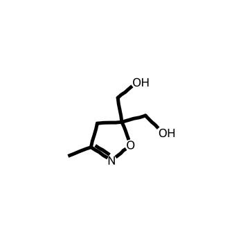 CC1=NOC(CO)(CO)C1